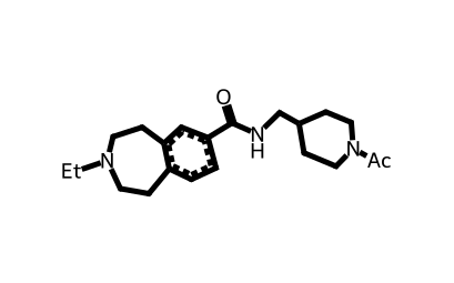 CCN1CCc2ccc(C(=O)NCC3CCN(C(C)=O)CC3)cc2CC1